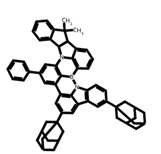 CC1(C)c2ccccc2C2C1c1cccc3c1N2c1cc(-c2ccccc2)cc2c1B3n1c3ccc(C45CC6CC(CC(C6)C4)C5)cc3c3cc(C45CC6CC(CC(C6)C4)C5)cc-2c31